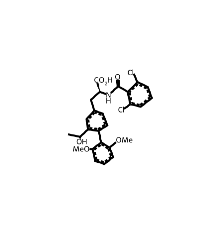 COc1cccc(OC)c1-c1ccc(C[C@H](NC(=O)c2c(Cl)cccc2Cl)C(=O)O)cc1C(C)O